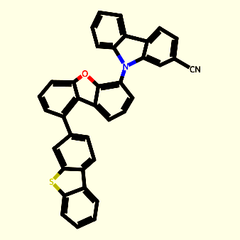 N#Cc1ccc2c3ccccc3n(-c3cccc4c3oc3cccc(-c5ccc6c(c5)sc5ccccc56)c34)c2c1